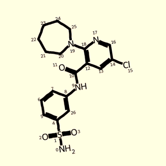 NS(=O)(=O)c1cccc(NC(=O)c2cc(Cl)cnc2N2CCCCCC2)c1